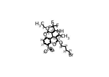 CCOC(=O)C1=C(C(F)(F)F)NC(C)=C(C(=O)OCCCCBr)C1c1cccc([N+](=O)[O-])c1